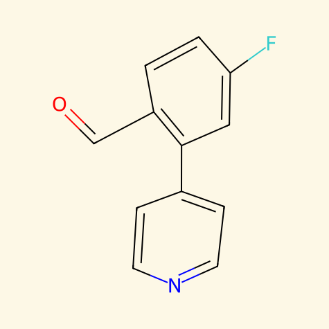 O=Cc1ccc(F)cc1-c1ccncc1